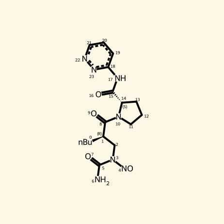 CCCC[C@H](CN(N=O)C(N)=O)C(=O)N1CCC[C@H]1C(=O)Nc1cccnn1